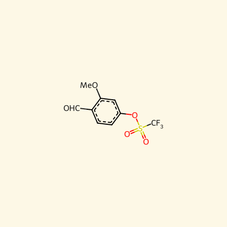 COc1cc(OS(=O)(=O)C(F)(F)F)ccc1C=O